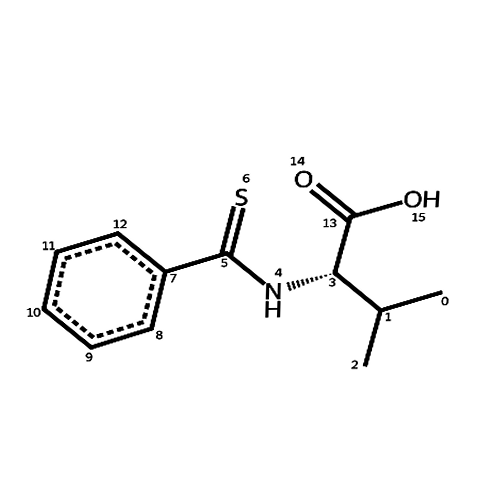 CC(C)[C@H](NC(=S)c1ccccc1)C(=O)O